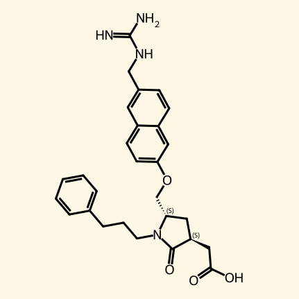 N=C(N)NCc1ccc2cc(OC[C@@H]3C[C@@H](CC(=O)O)C(=O)N3CCCc3ccccc3)ccc2c1